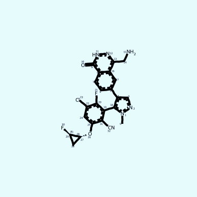 Cn1ncc(-c2ccc3c(=O)[nH]nc(CN)c3c2)c1-c1c(F)c(Cl)cc(O[C@@H]2C[C@H]2F)c1C#N